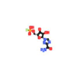 NC(=O)c1ncn([C@@H]2O[C@H](COP(=O)(O)F)C(=O)[C@H]2O)n1